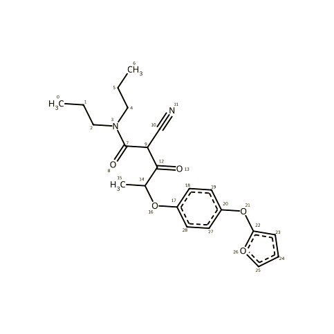 CCCN(CCC)C(=O)C(C#N)C(=O)C(C)Oc1ccc(Oc2ccco2)cc1